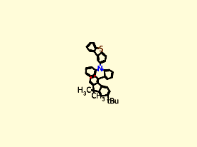 CC(C)(C)c1ccc2c(c1)C(C)(C)c1cccc(-c3ccccc3N(c3ccccc3)c3ccc4sc5ccccc5c4c3)c1-2